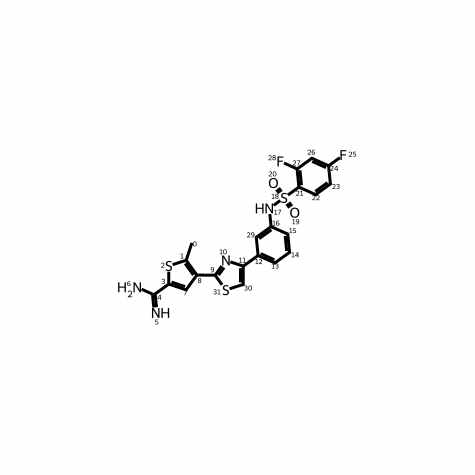 Cc1sc(C(=N)N)cc1-c1nc(-c2cccc(NS(=O)(=O)c3ccc(F)cc3F)c2)cs1